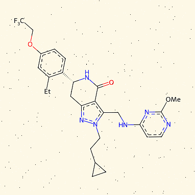 CCc1cc(OCC(F)(F)F)ccc1[C@H]1Cc2nn(CCC3CC3)c(CNc3ccnc(OC)n3)c2C(=O)N1